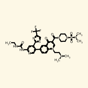 CCNC(=O)Nc1cc(-c2nc(C(F)(F)F)cs2)c(-c2ccc3c(c2)c(=O)c(C(=O)N2CCN(S(=O)(=O)N(C)C)CC2)cn3CCN(C)C)cn1